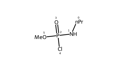 CCCNP(=O)(Cl)OC